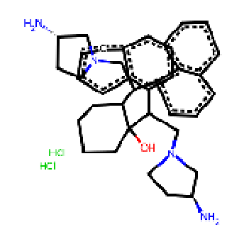 Cl.Cl.N[C@H]1CCN(CC(c2cccc3ccccc23)C2CCCCC2(O)C(CN2CC[C@H](N)C2)c2cccc3ccccc23)C1